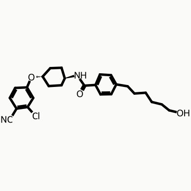 N#Cc1ccc(O[C@H]2CC[C@H](NC(=O)c3ccc(CCCCCCO)cc3)CC2)cc1Cl